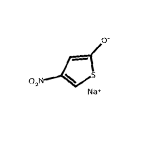 O=[N+]([O-])c1csc([O-])c1.[Na+]